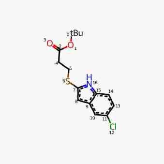 CC(C)(C)OC(=O)CCSc1cc2cc(Cl)ccc2[nH]1